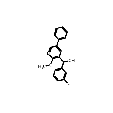 COc1ncc(-c2ccccc2)cc1C(O)c1cccc(F)c1